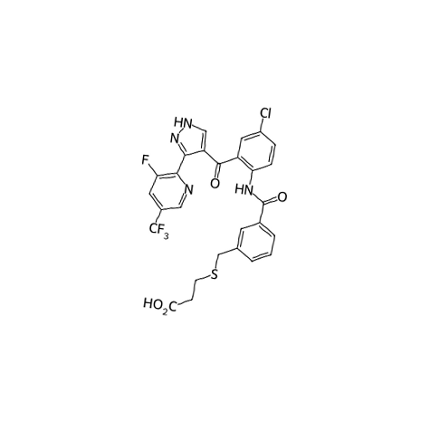 O=C(O)CCSCc1cccc(C(=O)Nc2ccc(Cl)cc2C(=O)c2c[nH]nc2-c2ncc(C(F)(F)F)cc2F)c1